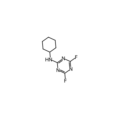 Fc1nc(F)nc(NC2CCCCC2)n1